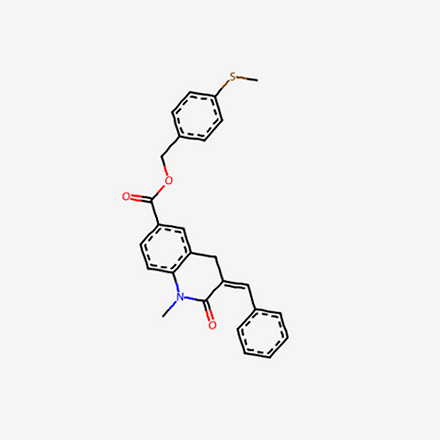 CSc1ccc(COC(=O)c2ccc3c(c2)CC(=Cc2ccccc2)C(=O)N3C)cc1